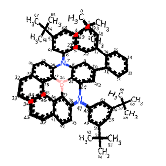 CC(C)(C)c1cc(N2c3cc(-c4ccccc4-c4ccccc4)cc4c3B(c3c2ccc2ccccc32)c2c(ccc3ccccc23)N4c2cc(C(C)(C)C)cc(C(C)(C)C)c2)cc(C(C)(C)C)c1